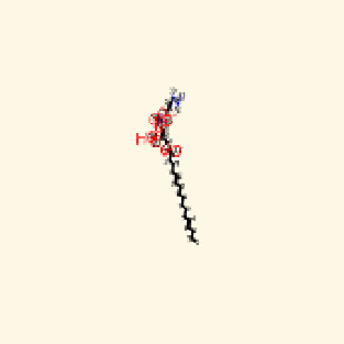 CCCCCCCCCCCCCCCCC(=O)OC[C@H](COP(=O)([O-])OCC[N+](C)(C)C)OO